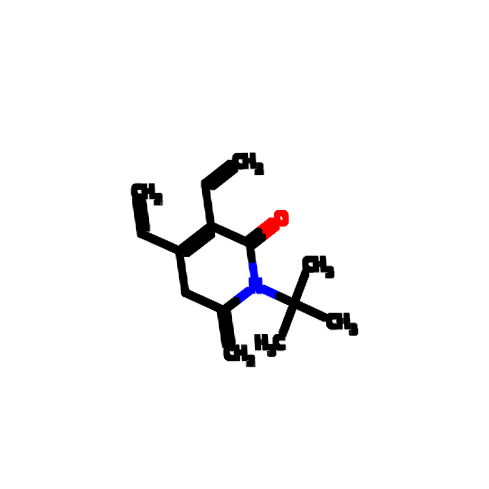 C=CC1=C(C=C)C(=O)N(C(C)(C)C)C(=C)C1